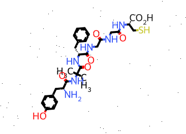 CC(C)(NC(=O)[C@H](N)Cc1ccc(O)cc1)C(=O)N[C@H](Cc1ccccc1)C(=O)NCC(=O)NCC(=O)N[C@@H](CS)C(=O)O